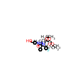 CC(C)c1c(C(=O)Nc2ccc(CO)cc2)c(-c2ccccc2)c(-c2ccc(F)cc2)n1CC[C@@H]1C[C@H](CC(=O)OC(C)(C)C)OC(C)(C)O1